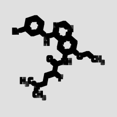 CCOc1cc2ncnc(Nc3cccc(Br)c3)c2cc1NC(=O)C(F)=CCN(C)C